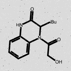 CCC(C)C1C(=O)Nc2ccccc2N1C(=O)CO